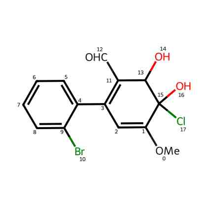 COC1=CC(c2ccccc2Br)=C(C=O)C(O)C1(O)Cl